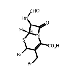 O=CNC1C(=O)N2C(C(=O)O)=C(CBr)C(Br)S[C@H]12